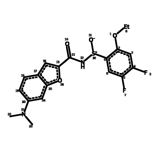 CCOc1cc(F)c(F)cc1[S+]([O-])NC(=O)c1cc2ccc(N(C)C)cc2o1